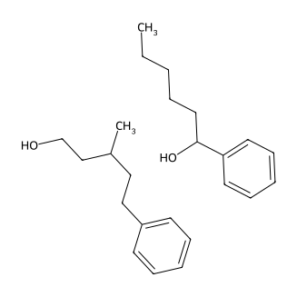 CC(CCO)CCc1ccccc1.CCCCCC(O)c1ccccc1